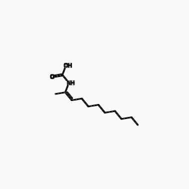 CCCCCCCC/C=C(/C)NC(=O)O